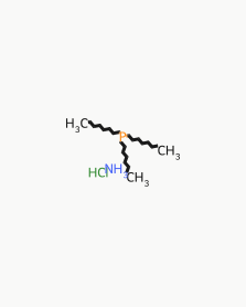 CCCCCCCCP(CCCCCCCC)CCCCCCCC.Cl.N